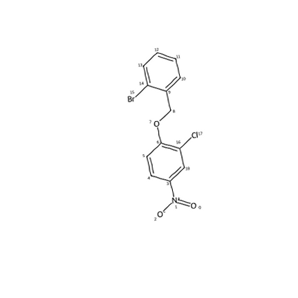 O=[N+]([O-])c1ccc(OCc2ccccc2Br)c(Cl)c1